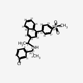 CC(N[C@H](C)c1cccc(Cl)c1)c1cc(-c2ccc(S(C)(=O)=O)cc2)c2ccccc2c1